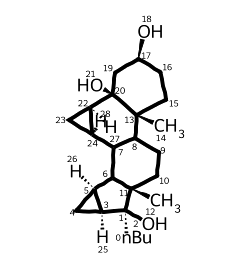 CCCC[C@]1(O)[C@H]2C[C@H]2C2C3C(CC[C@@]21C)[C@@]1(C)CC[C@H](O)C[C@@]1(O)[C@@H]1C[C@H]31